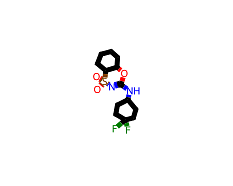 O=S1(=O)N=C(NC2CCC(F)(F)CC2)OC2CCCCC21